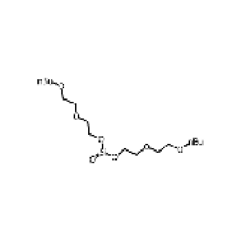 CCCCOCCOCCO[Si](=O)OCCOCCOCCCC